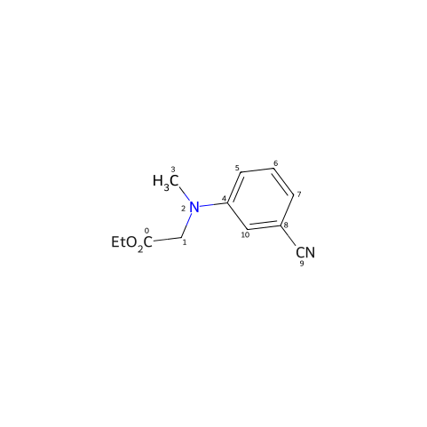 CCOC(=O)CN(C)c1cccc(C#N)c1